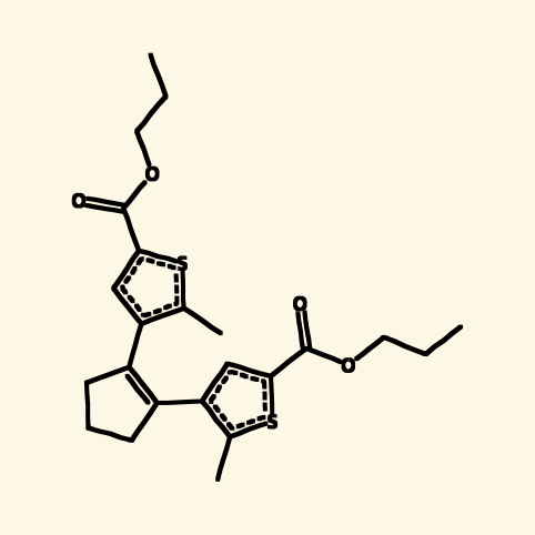 CCCOC(=O)c1cc(C2=C(c3cc(C(=O)OCCC)sc3C)CCC2)c(C)s1